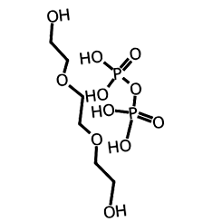 O=P(O)(O)OP(=O)(O)O.OCCOCCOCCO